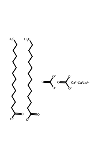 CCCCCCCCCCCCCC(=O)[O-].CCCCCCCCCCCCCC(=O)[O-].O=C([O-])[O-].O=C([O-])[O-].[Ca+2].[Ca+2].[Ca+2]